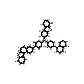 c1ccc2c(-c3ccc(N(c4ccc(-c5ccc6c(ccc7sc8ccccc8c76)c5)cc4)c4ccc5c(c4)oc4ccccc45)cc3)cccc2c1